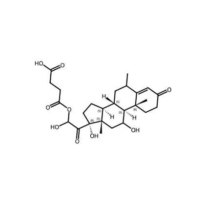 CC1C[C@@H]2[C@H](C(O)C[C@@]3(C)[C@H]2CC[C@]3(O)C(=O)C(O)OC(=O)CCC(=O)O)[C@@]2(C)CCC(=O)C=C12